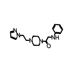 O=C(CNc1ccccc1)N1CCN(CCn2cccn2)CC1